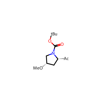 CO[C@H]1C[C@@H](C(C)=O)N(C(=O)OC(C)(C)C)C1